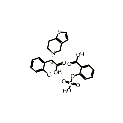 O=C(O)[C@H](c1ccccc1Cl)N1CCc2sccc2C1.O=C(O)c1ccccc1OS(=O)(=O)O